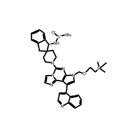 CC(C)(C)[S+]([O-])N[C@@H]1c2ccccc2CC12CCN(c1nc3c(c(-c4ccnc5ccccc45)cn3COCC[Si](C)(C)C)c3nccn13)CC2